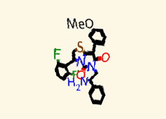 COc1cccc(-c2c3n(c(=O)n(CC(N)c4ccccc4)c2=O)C(c2c(F)cccc2F)CS3)c1